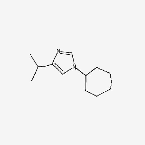 CC(C)c1cn(C2CCCCC2)cn1